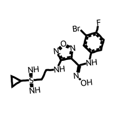 N=S(=N)(CCNc1nonc1/C(=N/O)Nc1ccc(F)c(Br)c1)C1CC1